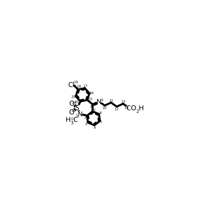 CN1c2ccccc2C(=NCCCCC(=O)O)c2ccc(Cl)cc2S1(=O)=O